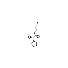 CCCCCC(=O)C(OC)C1CCCC1